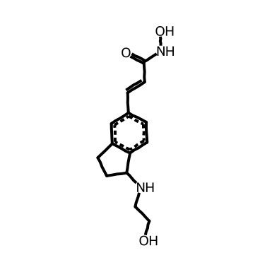 O=C(C=Cc1ccc2c(c1)CCC2NCCO)NO